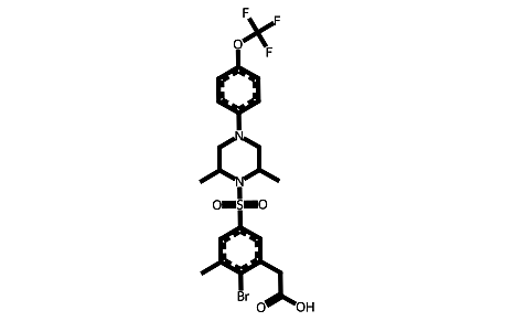 Cc1cc(S(=O)(=O)N2C(C)CN(c3ccc(OC(F)(F)F)cc3)CC2C)cc(CC(=O)O)c1Br